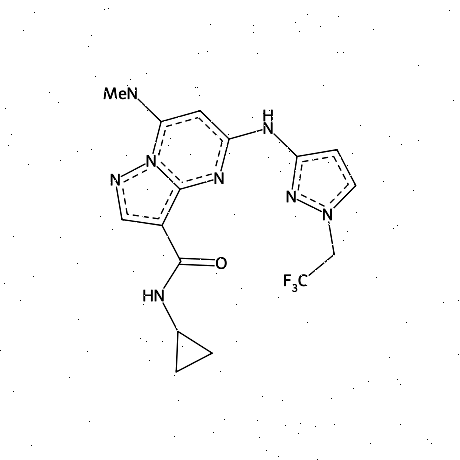 CNc1cc(Nc2ccn(CC(F)(F)F)n2)nc2c(C(=O)NC3CC3)cnn12